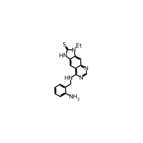 CCn1c(=S)[nH]c2cc3c(NCc4ccccc4N)ncnc3cc21